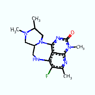 Cc1nc2c3c(nc(=O)n2C)N2CC(C)N(C)CC2CNc3c1F